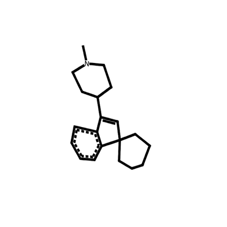 CN1CCC(C2=CC3(CCCCC3)c3ccccc32)CC1